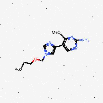 COc1nc(N)ncc1-c1cn(COCCOC(C)=O)cn1